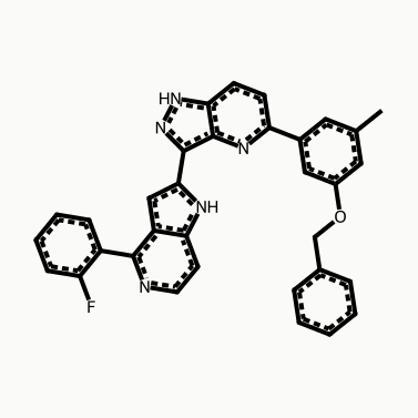 Cc1cc(OCc2ccccc2)cc(-c2ccc3[nH]nc(-c4cc5c(-c6ccccc6F)nccc5[nH]4)c3n2)c1